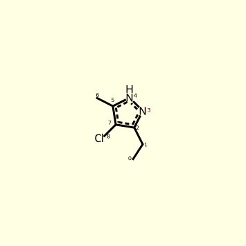 CCc1n[nH]c(C)c1Cl